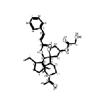 CCC1CCC(C)=C1C(OC(=O)/C=C/c1ccccc1)C1(C2CCN(C(C)=O)CC2)CC(OC(=O)CO)CO1